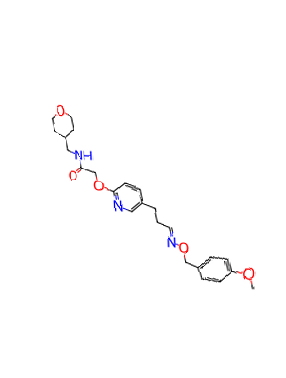 COc1ccc(CON=CCCc2ccc(OCC(=O)NCC3CCOCC3)nc2)cc1